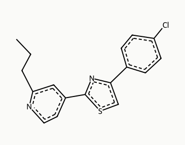 CCCc1cc(-c2nc(-c3ccc(Cl)cc3)cs2)ccn1